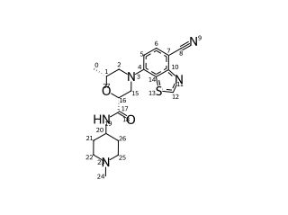 C[C@@H]1CN(c2ccc(C#N)c3ncsc23)C[C@H](C(=O)NC2CCN(C)CC2)O1